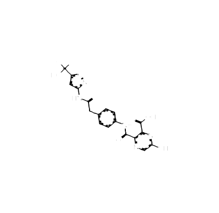 Cc1cnc(C(=O)Nc2ccc(CC(=O)Nc3cc(C(C)(C)C)on3)cc2)c(C(=O)O)n1